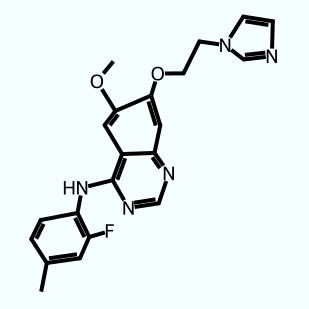 COc1cc2c(Nc3ccc(C)cc3F)ncnc2cc1OCCn1ccnc1